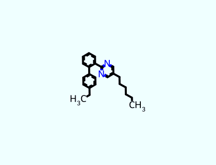 CCCCCCc1cnc(-c2ccccc2-c2ccc(CC)cc2)nc1